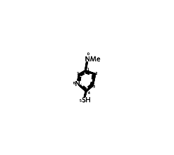 CNc1ccc(S)nc1